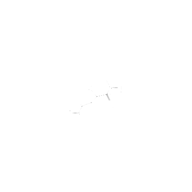 CN(C)C(=O)C(Br)CCCBr